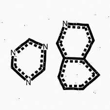 c1ccc2cnccc2c1.c1ncncn1